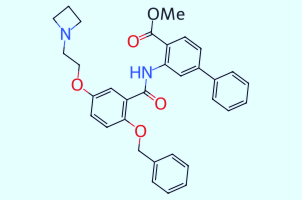 COC(=O)c1ccc(-c2ccccc2)cc1NC(=O)c1cc(OCCN2CCC2)ccc1OCc1ccccc1